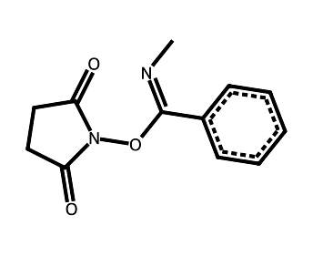 CN=C(ON1C(=O)CCC1=O)c1ccccc1